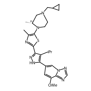 COc1cc(-c2[nH]nc(-c3nc(C)c(N4CCN(CC5CC5)C[C@H]4C)s3)c2C(C)C)cn2ncnc12